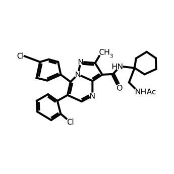 CC(=O)NCC1(NC(=O)c2c(C)nn3c(-c4ccc(Cl)cc4)c(-c4ccccc4Cl)cnc23)CCCCC1